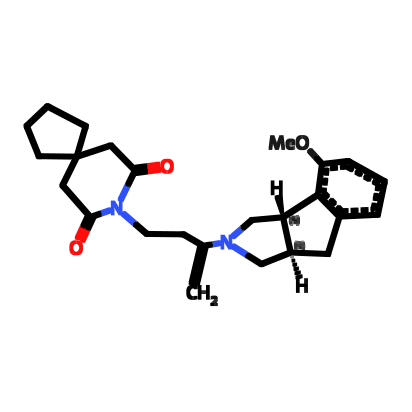 C=C(CCN1C(=O)CC2(CCCC2)CC1=O)N1C[C@@H]2Cc3cccc(OC)c3[C@H]2C1